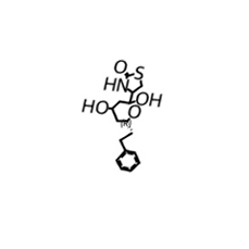 O=C1NC(C2(O)CC(O)C[C@@H](CCc3ccccc3)O2)CS1